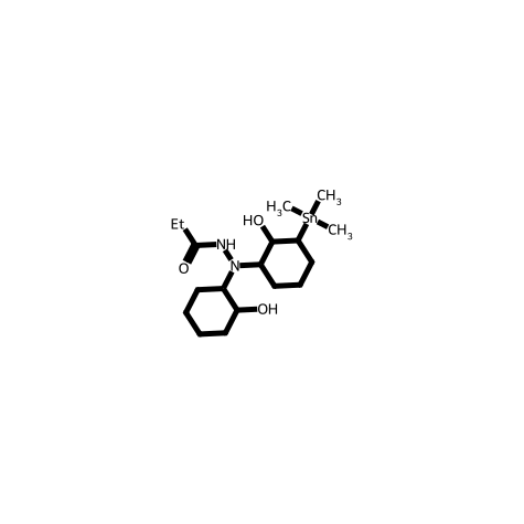 CCC(=O)NN(C1CCCCC1O)C1CCC[CH]([Sn]([CH3])([CH3])[CH3])C1O